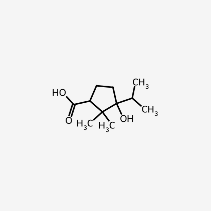 CC(C)C1(O)CCC(C(=O)O)C1(C)C